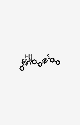 O=C(Nc1nc(-c2ccccc2)cs1)NC1CCC(c2cccc(N3CCN(C(=S)c4ccc(-c5ccccc5)cc4)CC3)c2)CC1